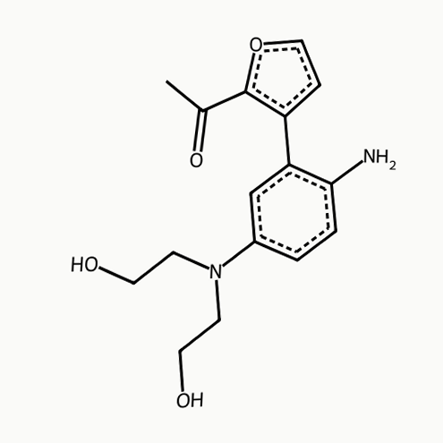 CC(=O)c1occc1-c1cc(N(CCO)CCO)ccc1N